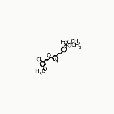 COc1ccc(Cl)c(/C=C/C(=O)c2cncc(CCC3CCN(C(=O)OC(C)(C)C)CC3)c2)c1